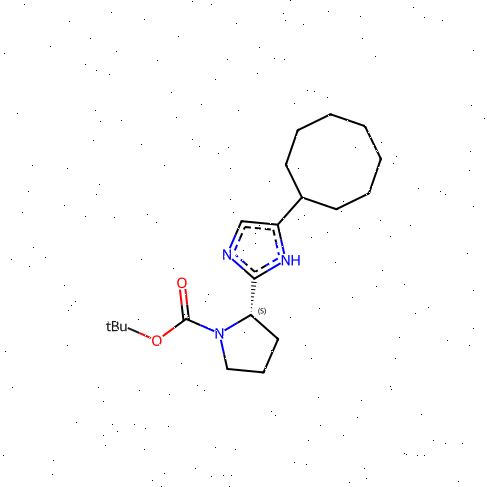 CC(C)(C)OC(=O)N1CCC[C@H]1c1ncc(C2CCCCCCC2)[nH]1